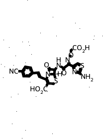 N#Cc1ccc(C=CC2=C(C(=O)O)CS[C@@H]3C(NC(=O)C(=NOCC(=O)O)c4csc(N)n4)C(=O)N23)cc1